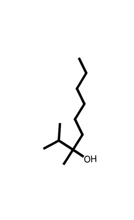 CCCCCCC(C)(O)C(C)C